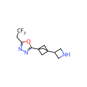 FC(F)(F)Cc1nnc(C23CC(C4CNC4)(C2)C3)o1